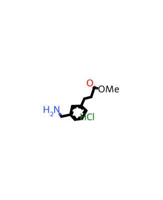 COC(=O)CCc1cccc(CN)c1.Cl